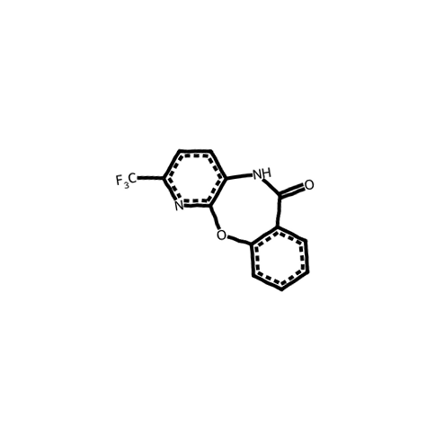 O=C1Nc2ccc(C(F)(F)F)nc2Oc2ccccc21